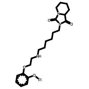 CCOc1ccccc1OCCNCCCCCCN1C(=O)C2CCCCN2C1=O